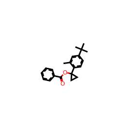 Cc1cc(C(C)(C)C)ccc1C1(OC(=O)c2ccccc2)CC1